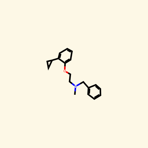 CN(CCOc1ccccc1C1CC1)Cc1ccccc1